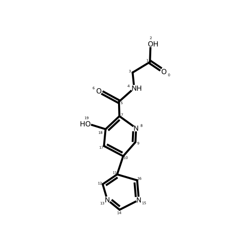 O=C(O)CNC(=O)c1ncc(-c2cncnc2)cc1O